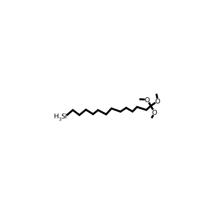 COC(CCCCCCCCCCCC[SiH3])(OC)OC